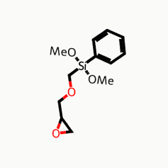 CO[Si](COCC1CO1)(OC)c1ccccc1